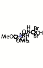 COc1ccc(/C(C)=N/NC(=O)CNc2cc(Br)c(C)c(Br)c2)c(OC)c1